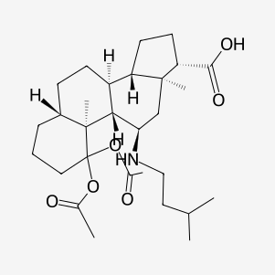 CC(=O)OC1(OC(C)=O)CCC[C@@H]2CC[C@@H]3[C@H]([C@H](NCCC(C)C)C[C@]4(C)[C@@H](C(=O)O)CC[C@@H]34)[C@]21C